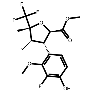 COC(=O)[C@@H]1O[C@@](C)(C(F)(F)F)[C@@H](C)[C@H]1c1ccc(O)c(F)c1OC